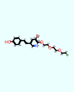 Oc1ccc(C=Cc2cnc(OCCOCCOCCF)c(Br)c2)cc1